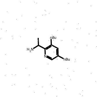 CCCCc1cnc(C(C)N)c(CCCC)c1